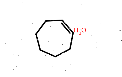 C1=CCCCCC1.O